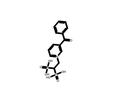 O=C(c1ccccc1)c1ccc[n+](CC(P(=O)(O)O)P(=O)(O)O)c1